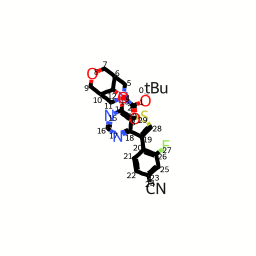 CC(C)(C)OC(=O)N1CC2COCC(C1)C2Oc1ncnc2c(-c3ccc(C#N)cc3F)csc12